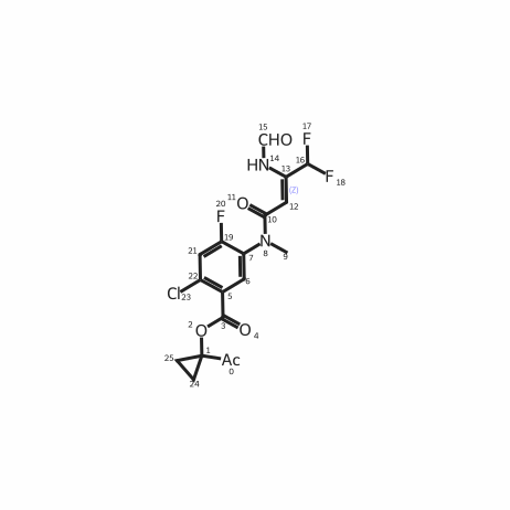 CC(=O)C1(OC(=O)c2cc(N(C)C(=O)/C=C(\NC=O)C(F)F)c(F)cc2Cl)CC1